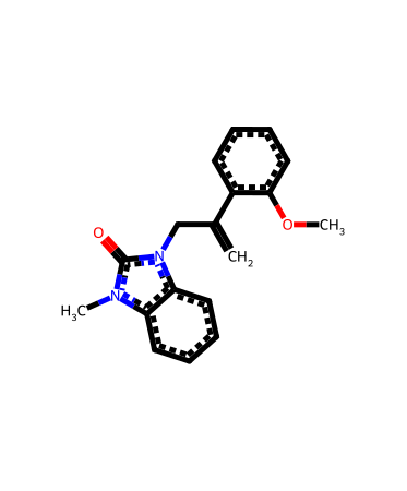 C=C(Cn1c(=O)n(C)c2ccccc21)c1ccccc1OC